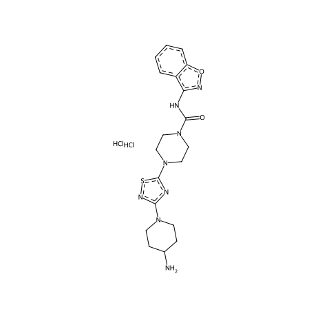 Cl.Cl.NC1CCN(c2nsc(N3CCN(C(=O)Nc4noc5ccccc45)CC3)n2)CC1